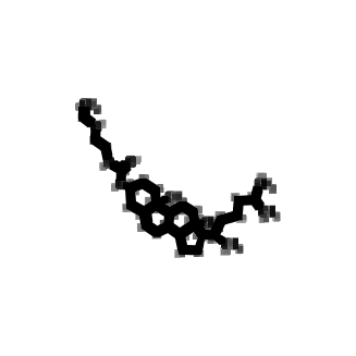 C=COCCOC(=O)O[C@H]1CC[C@@]2(C)C(=CCC3C2CC[C@@]2(C)C3CC[C@@H]2[C@H](C)CCCC(C)C)C1